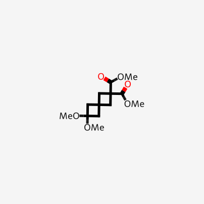 COC(=O)C1(C(=O)OC)CC2(CC(OC)(OC)C2)C1